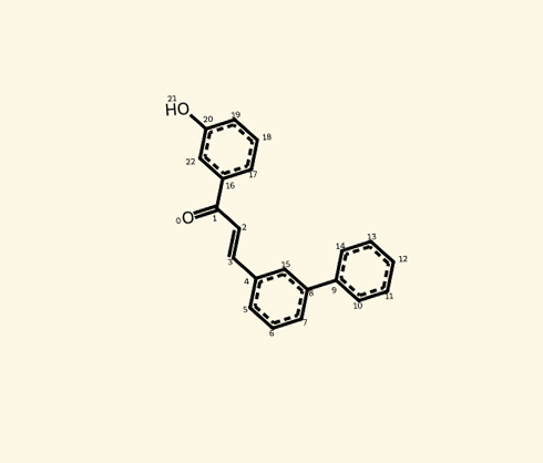 O=C(C=Cc1cccc(-c2ccccc2)c1)c1cccc(O)c1